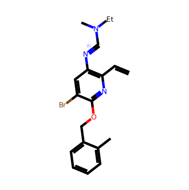 C=Cc1nc(OCc2ccccc2C)c(Br)cc1/N=C/N(C)CC